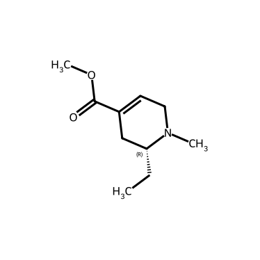 CC[C@@H]1CC(C(=O)OC)=CCN1C